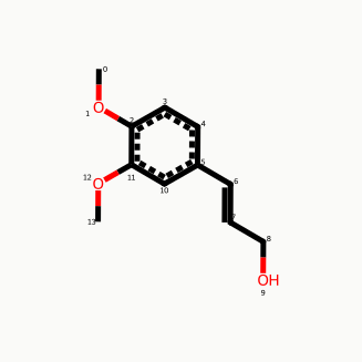 COc1ccc(/C=C/CO)cc1OC